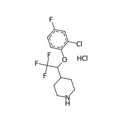 Cl.Fc1ccc(OC(C2CCNCC2)C(F)(F)F)c(Cl)c1